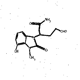 Cn1c(=O)n(C(CCC=O)C(N)=O)c2cccc(O)c21